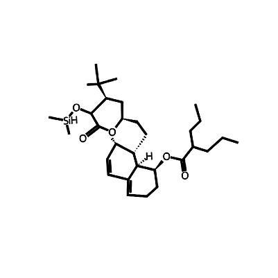 CCCC(CCC)C(=O)O[C@H]1CCC=C2C=C[C@H](C)[C@H](CC[C@@H]3C[C@H](C(C)(C)C)C(O[SiH](C)C)C(=O)O3)[C@H]21